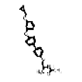 CC(=O)NC(C)COc1ccc(-c2ccc(Oc3cccc(OCC4CC4)c3)cc2)cc1